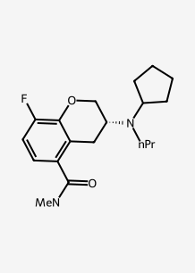 CCCN(C1CCCC1)[C@H]1COc2c(F)ccc(C(=O)NC)c2C1